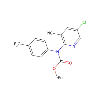 CC(C)(C)OC(=O)N(c1ccc(C(F)(F)F)cc1)c1ncc(Cl)cc1C#N